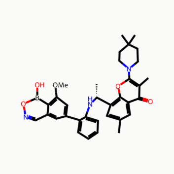 COc1cc(-c2ccccc2N[C@H](C)c2cc(C)cc3c(=O)c(C)c(N4CCC(C)(C)CC4)oc23)cc2c1B(O)ON=C2